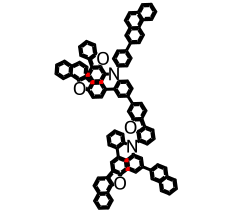 c1cc(-c2ccc3ccccc3c2)cc(N(c2ccccc2-c2ccc3oc4c5ccccc5ccc4c3c2)c2cccc3c2oc2cc(-c4ccc(N(c5ccc(-c6ccc7c(ccc8ccccc87)c6)cc5)c5cccc6c5oc5ccccc56)c(-c5ccc6oc7c8ccccc8ccc7c6c5)c4)ccc23)c1